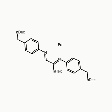 CCCCCCCCCCCc1ccc(N=CC(CCCCCC)=Nc2ccc(CCCCCCCCCCC)cc2)cc1.[Pd]